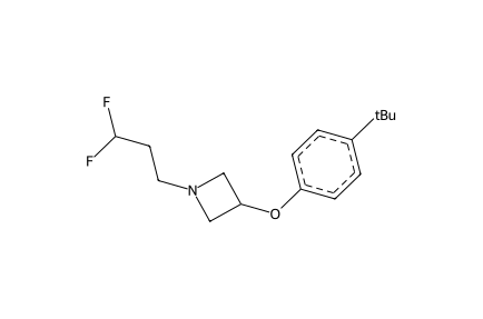 CC(C)(C)c1ccc(OC2CN(CCC(F)F)C2)cc1